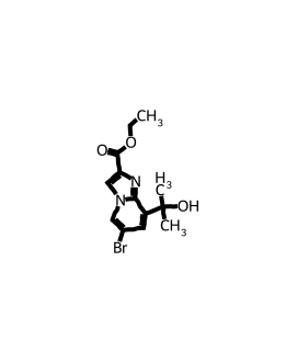 CCOC(=O)c1cn2cc(Br)cc(C(C)(C)O)c2n1